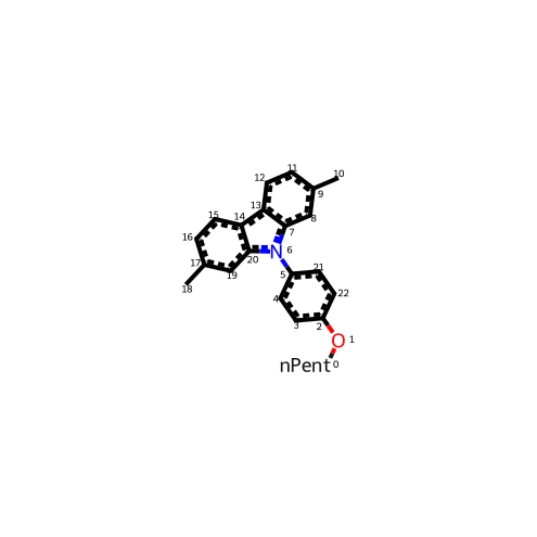 CCCCCOc1ccc(-n2c3cc(C)ccc3c3ccc(C)cc32)cc1